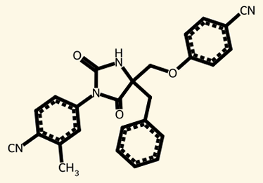 [C-]#[N+]c1ccc(N2C(=O)NC(COc3ccc(C#N)cc3)(Cc3ccccc3)C2=O)cc1C